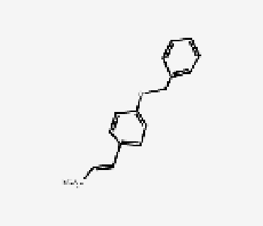 CCOC(=O)/C=C/c1ccc(OCc2ccccc2)cc1